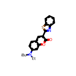 CCC(C)N(CC)c1ccc2cc(-c3nc4ccccc4s3)c(=O)oc2c1